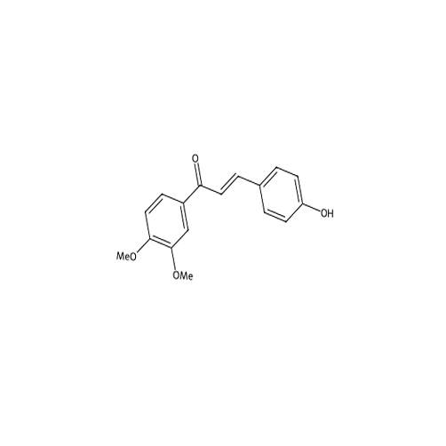 COc1ccc(C(=O)C=Cc2ccc(O)cc2)cc1OC